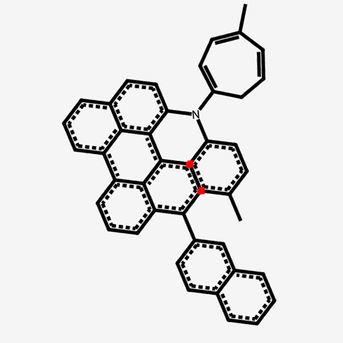 CC1=CC=C(N(c2ccc(C)cc2)c2ccc3cccc4c5cccc6c(-c7ccc8ccccc8c7)ccc(c2c34)c65)CC=C1